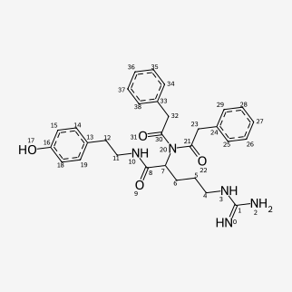 N=C(N)NCCCC(C(=O)NCCc1ccc(O)cc1)N(C(=O)Cc1ccccc1)C(=O)Cc1ccccc1